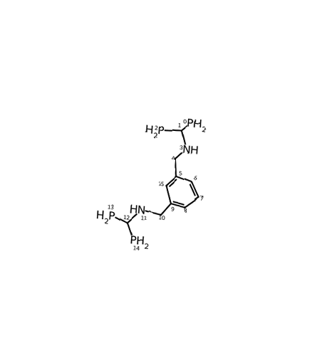 PC(P)NCc1cccc(CNC(P)P)c1